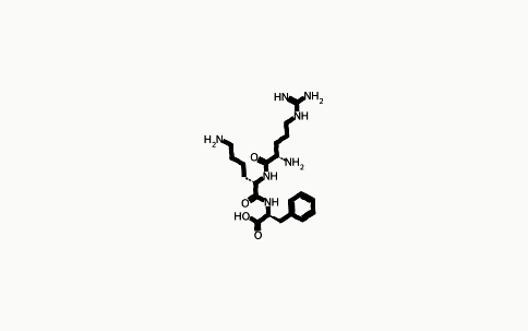 N=C(N)NCCC[C@H](N)C(=O)N[C@@H](CCCCN)C(=O)N[C@@H](Cc1ccccc1)C(=O)O